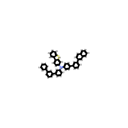 c1ccc(-c2cccc(-c3cccc(N(c4ccc(-c5cccc(-c6ccc7ccccc7c6)c5)cc4)c4ccc5c(c4)sc4ccccc45)c3)c2)cc1